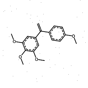 C=C(c1ccc(OC)cc1)c1cc(OC)c(OC)c(OC)c1